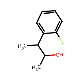 CC(O)C(C)c1ccccc1F